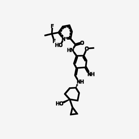 COC1=CC(=N)/C(=C\N[C@H]2CC[C@@](O)(C3CC3)CC2)C=C1NC(=O)c1cccc(C(C)(F)F)[n+]1O